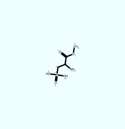 COC(=O)C(N)CP(=O)(O)O